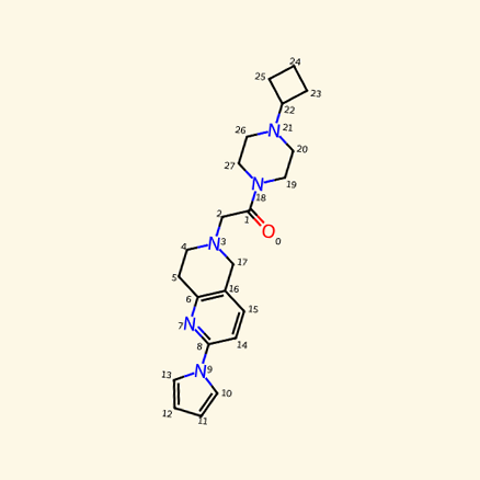 O=C(CN1CCc2nc(-n3cccc3)ccc2C1)N1CCN(C2CCC2)CC1